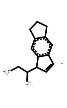 CCC(C)C1C=Cc2cc3c(cc21)CCC3.[Li]